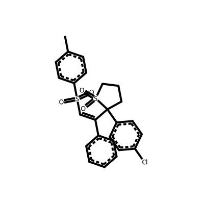 Cc1ccc(S(=O)(=O)C=C(c2ccccc2)C2(c3ccc(Cl)cc3)CCCS2(=O)=O)cc1